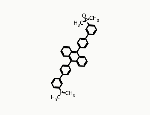 CP(C)c1cccc(-c2ccc(-c3c4ccccc4c(-c4ccc(-c5cccc(P(C)(C)=O)c5)cc4)c4ccccc34)cc2)c1